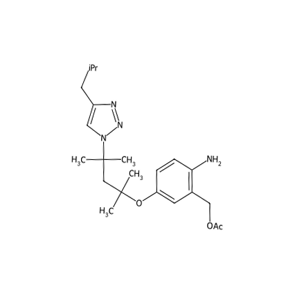 CC(=O)OCc1cc(OC(C)(C)CC(C)(C)n2cc(CC(C)C)nn2)ccc1N